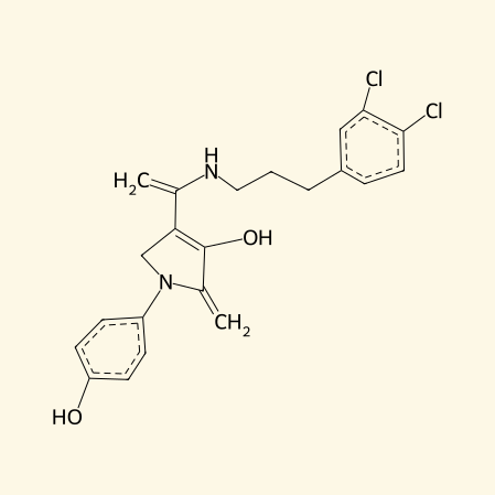 C=C(NCCCc1ccc(Cl)c(Cl)c1)C1=C(O)C(=C)N(c2ccc(O)cc2)C1